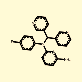 Nc1cccc(N(c2ccc(F)cc2)C(c2cccnc2)c2cccnc2)n1